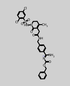 CC1=C(CC(=O)NCc2ccc(/C(N)=N/C(=O)OCc3ccccc3)cc2)C(=O)N(NS(=O)(=O)c2cc(Cl)ccc2Cl)CC1